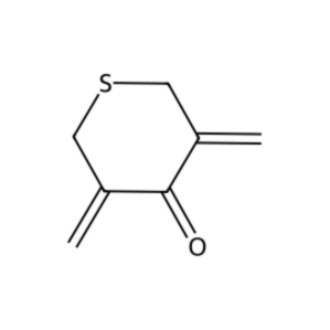 C=C1CSCC(=C)C1=O